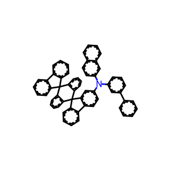 c1ccc(-c2cccc(N(c3ccc4c(c3)C3(c5ccccc5-4)c4ccccc4C4(c5ccccc5-c5ccccc54)c4ccccc43)c3ccc4ccccc4c3)c2)cc1